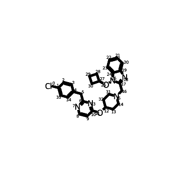 Clc1ccc(Cc2nccc(OC3CCN(Cc4nc5c[c]ccc5n4OC4CCC4)CC3)n2)cc1